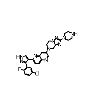 Fc1ccc(Cl)cc1-c1n[nH]cc1-c1ccc2ncc(N3CCn4nc(N5CCNCC5)nc4C3)cc2n1